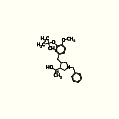 COc1ccc(CC2CN(Cc3ccccc3)CC2[C@@H](C)O)cc1OC(C)(C)C